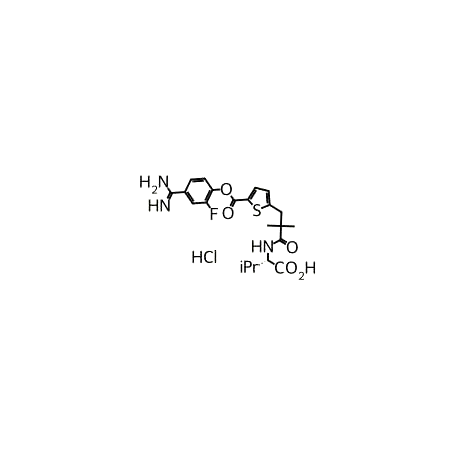 CC(C)[C@H](NC(=O)C(C)(C)Cc1ccc(C(=O)Oc2ccc(C(=N)N)cc2F)s1)C(=O)O.Cl